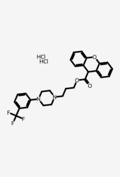 Cl.Cl.O=C(OCCCN1CCN(c2cccc(C(F)(F)F)c2)CC1)C1c2ccccc2Oc2ccccc21